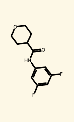 O=C(Nc1cc(F)cc(F)c1)C1CCOCC1